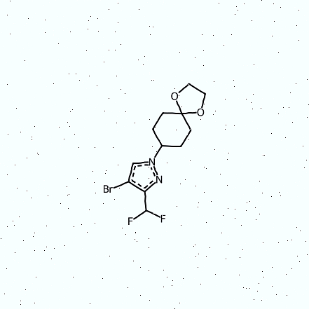 FC(F)c1nn(C2CCC3(CC2)OCCO3)cc1Br